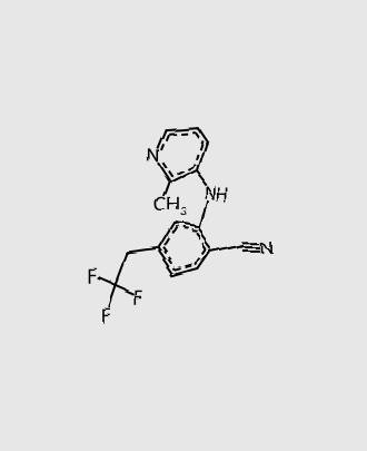 Cc1ncccc1Nc1cc(CC(F)(F)F)ccc1C#N